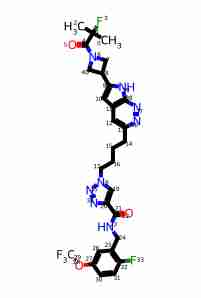 CC(C)(F)C(=O)N1CC(c2cc3cc(CCCCn4cc(C(=O)NCc5cc(OC(F)(F)F)ccc5F)nn4)nnc3[nH]2)C1